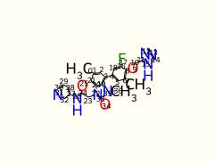 Cc1cc(-c2cc(C)c(OCc3nnc[nH]3)c(F)c2)c2c(c1)n(CC(=O)Nc1cccnc1)c(=O)n2C